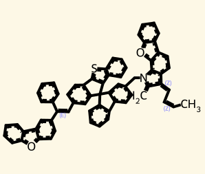 C=c1/c(=C\C=C/C)c2ccc3c4ccccc4oc3c2n1Cc1ccc2c(c1)C1(c3ccccc3-2)c2cc(/C=C(\c3ccccc3)c3ccc4oc5ccccc5c4c3)ccc2-c2sc3ccccc3c21